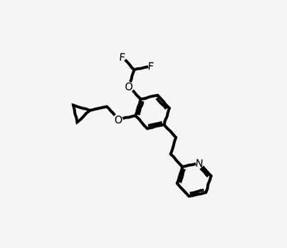 FC(F)Oc1ccc(CCc2ccccn2)cc1OCC1CC1